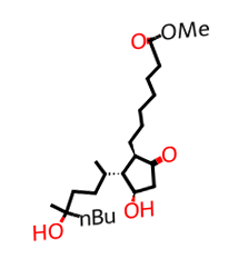 CCCCC(C)(O)CCC(C)[C@H]1[C@H](O)CC(=O)[C@@H]1CCCCCCC(=O)OC